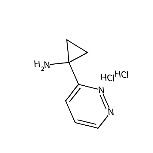 Cl.Cl.NC1(c2cccnn2)CC1